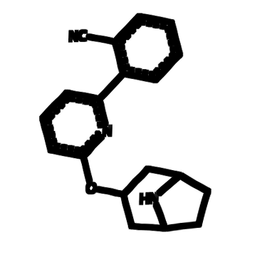 N#Cc1ccccc1-c1cccc(OC2CC3CCC(C2)N3)n1